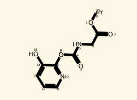 CC(C)OC(=O)CNC(=O)Oc1ncccc1O